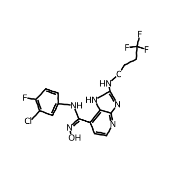 O/N=C(/Nc1ccc(F)c(Cl)c1)c1ccnc2nc(NCCCC(F)(F)F)[nH]c12